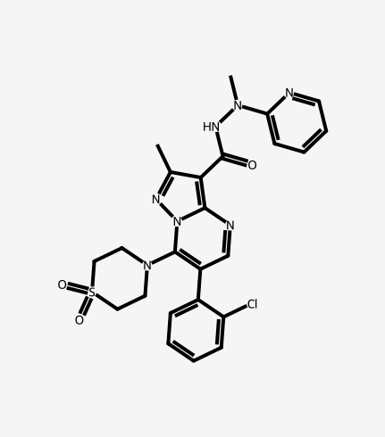 Cc1nn2c(N3CCS(=O)(=O)CC3)c(-c3ccccc3Cl)cnc2c1C(=O)NN(C)c1ccccn1